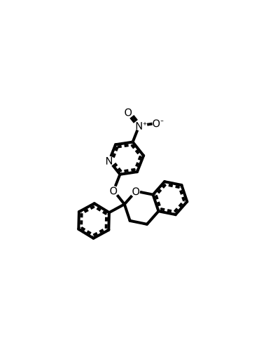 O=[N+]([O-])c1ccc(OC2(c3ccccc3)CCc3ccccc3O2)nc1